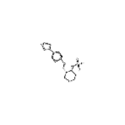 CCS(=O)(=O)N[C@H]1CCOC[C@@H]1COc1ccc(-c2cscn2)cc1